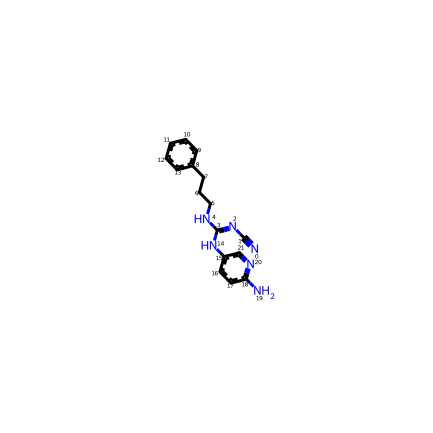 N#CN=C(NCCCc1ccccc1)Nc1ccc(N)nc1